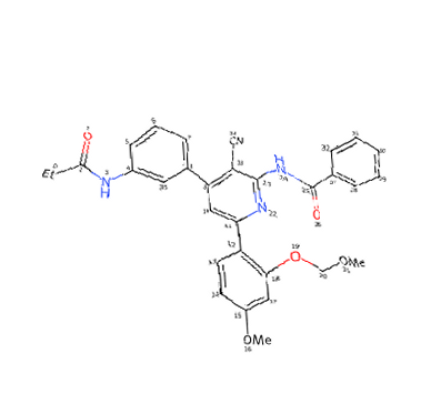 [CH2]CC(=O)Nc1cccc(-c2cc(-c3ccc(OC)cc3OCOC)nc(NC(=O)c3ccccc3)c2C#N)c1